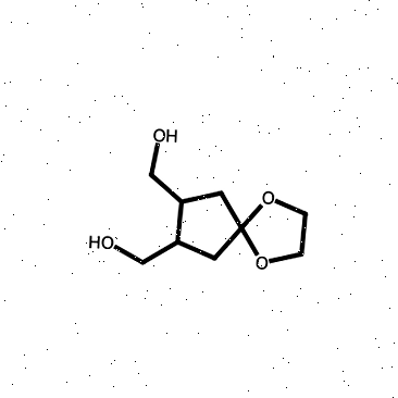 OCC1CC2(CC1CO)OCCO2